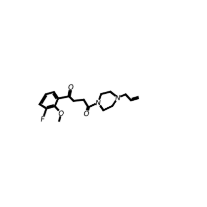 C=CCN1CCN(C(=O)CCC(=O)c2cccc(F)c2OC)CC1